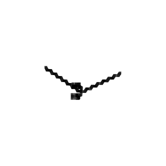 CCCCCCCCCCCCCCC(CS)(CS)CCCCCCCCCCCCCC